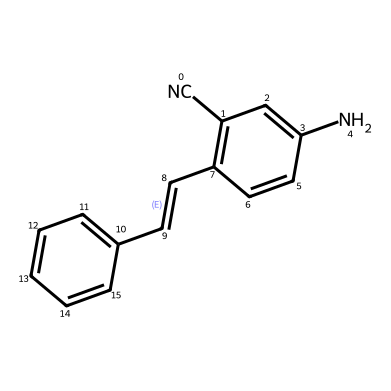 N#Cc1cc(N)ccc1/C=C/c1ccccc1